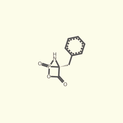 O=C1OP2(=O)N[C@@]12Cc1ccccc1